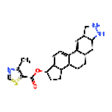 Cc1ncsc1C(=O)OC1CCC2C1=CC=C1C3=CC4CNNC4CC3CCC12